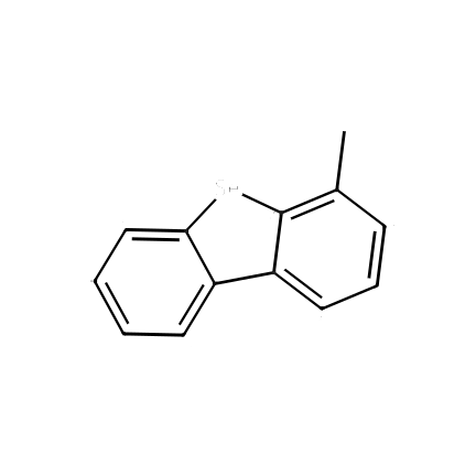 Cc1cccc2c1[se]c1ccccc12